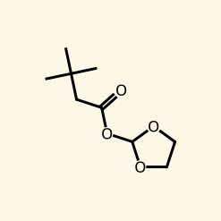 CC(C)(C)CC(=O)OC1OCCO1